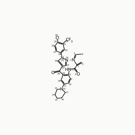 C=C(/N=C\C)C(=O)Nc1ccc(N2CCCCC2)cc1C(=O)c1cnn(-c2ccc(Cl)c(C(F)(F)F)c2)c1